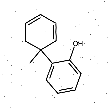 CC1(c2ccccc2O)C=CC=CC1